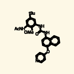 COc1c(NC(C)=O)cc(C(C)(C)C)cc1NC(=O)Nc1ccc(Oc2ccncc2)c2ccccc12